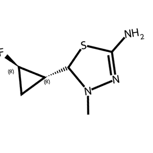 CN1N=C(N)SC1[C@@H]1C[C@H]1F